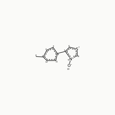 Cc1ccc(-c2cs[c][n+]2[O-])cc1